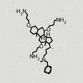 C[C@H](CCCN(C)Cc1ccccc1)C1CC[C@H]2C3[C@H](OCCCN)CC4C[C@H](OCCCN)CCC4(C)[C@H]3C[C@H](OCCCN)C12C